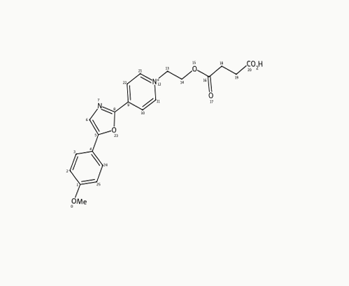 COc1ccc(-c2cnc(-c3cc[n+](CCOC(=O)CCC(=O)O)cc3)o2)cc1